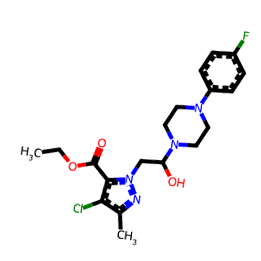 CCOC(=O)c1c(Cl)c(C)nn1CC(O)N1CCN(c2ccc(F)cc2)CC1